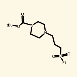 CCS(=O)(=O)CCCN1CCN(C(=O)OC(C)(C)C)CC1